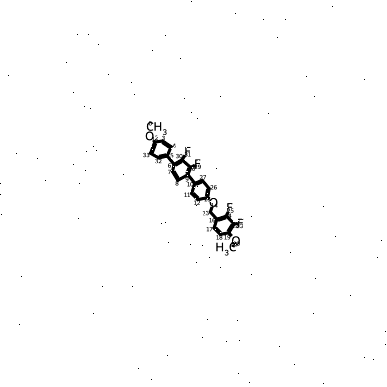 COc1ccc(-c2ccc(-c3ccc(OCc4ccc(OC)c(F)c4F)cc3)c(F)c2F)cc1